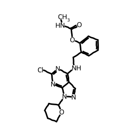 CNC(=O)Oc1ccccc1CNc1nc(Cl)nc2c1cnn2C1CCCCO1